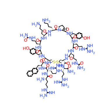 N=C(N)NCCC[C@H](NC(=O)[C@@H]1CSSC[C@H](NC(=O)[C@H](Cc2ccc3ccccc3c2)NC(=O)[C@H](CCCNC(=N)N)NC(=O)[C@@H](N)CCCNC(=N)N)C(=O)N[C@@H](Cc2ccc(O)cc2)C(=O)N[C@@H](CCCNC(N)=O)C(=O)N[C@@H](CCCCN)C(=O)N[C@H](CCCCN)C(=O)N2CCC[C@H]2C(=O)N[C@@H](Cc2ccc(O)cc2)C(=O)N[C@@H](CCCNC(=N)N)C(=O)N[C@@H](CCCNC(N)=O)C(=O)N1)C(N)=O